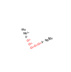 [Mo].[Mo].[Nb+5].[Nb+5].[O-2].[O-2].[O-2].[O-2].[O-2].[V].[V]